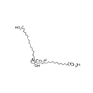 O=C(O)CCCCCCCCCCCCCCCN1CCC(O)[C@@]1(CCCCCCCCCCCCCCCC(=O)O)C(=O)O